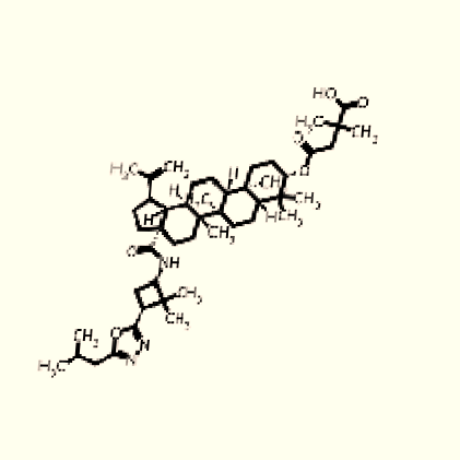 C=C(C)[C@@H]1CC[C@]2(C(=O)N[C@@H]3C[C@H](c4nnc(CC(C)C)o4)C3(C)C)CC[C@]3(C)[C@H](CC[C@@H]4[C@@]5(C)CC[C@H](OC(=O)CC(C)(C)C(=O)O)C(C)(C)[C@@H]5CC[C@]43C)[C@@H]12